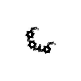 O=C(Nc1cccc(OC(F)(F)F)c1)N[C@H]1CC[C@H](Oc2ccc(OC(F)(F)F)cc2)CC1